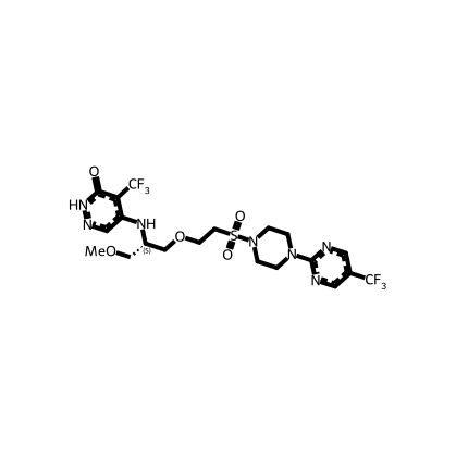 COC[C@@H](COCCS(=O)(=O)N1CCN(c2ncc(C(F)(F)F)cn2)CC1)Nc1cn[nH]c(=O)c1C(F)(F)F